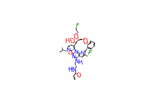 C=CC(=O)NCCNc1nc(=O)n2c3nc(c(C)cc13)-c1c(F)cccc1OCC(OCCF)C(O)C1=C2[C@@H](C)N(CC(C)C)C=C1